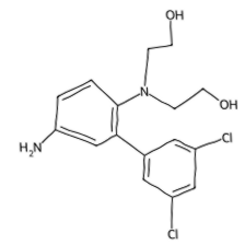 Nc1ccc(N(CCO)CCO)c(-c2cc(Cl)cc(Cl)c2)c1